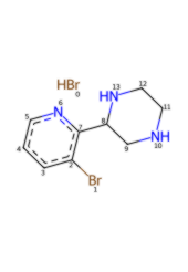 Br.Brc1cccnc1C1CNCCN1